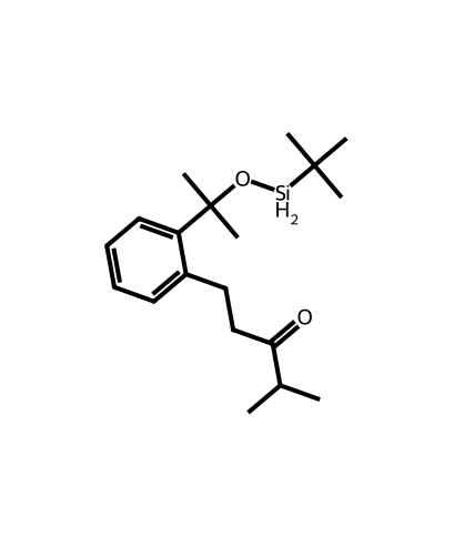 CC(C)C(=O)CCc1ccccc1C(C)(C)O[SiH2]C(C)(C)C